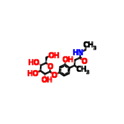 CCNC(=O)CC(C)c1ccc(O[C@@H]2O[C@H](CO)[C@@H](O)[C@H](O)[C@H]2O)cc1O